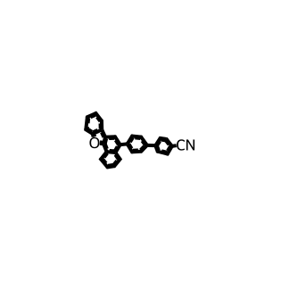 N#Cc1ccc(-c2ccc(-c3cc4c5ccccc5oc4c4ccccc34)cc2)cc1